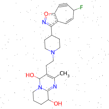 CC1=C(CCN2CCC(c3noc4c3C=CC(F)C#C4)CC2)C(O)N2CCCC(O)C2=N1